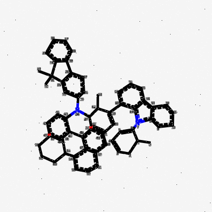 CC1CC=CC=C1n1c2ccccc2c2cccc(C3=CC=CC(N(c4ccc5c(c4)C(C)(C)c4ccccc4-5)c4ccccc4-c4cccc5cccc(C6CCCCC6)c45)C3C)c21